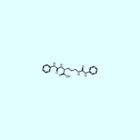 O=C(NCCC[C@H](NC(=O)Nc1ccccc1)C(=O)O)Nc1ccccc1